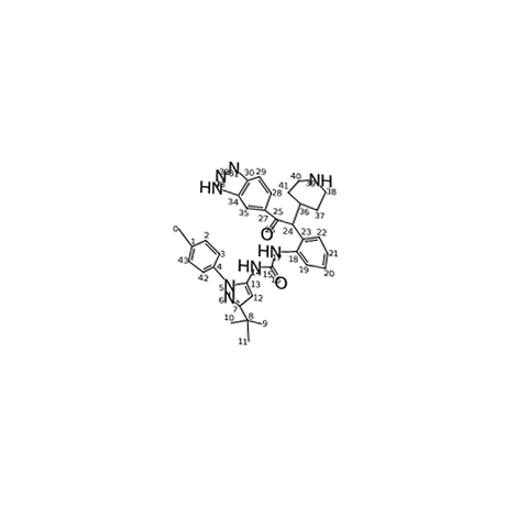 Cc1ccc(-n2nc(C(C)(C)C)cc2NC(=O)Nc2ccccc2C(C(=O)c2ccc3nn[nH]c3c2)C2CCNCC2)cc1